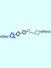 CCCCCCCCCCc1cnc(-c2ccc(-c3ccc(OCCCC4CCC(CCCCC)CC4)cc3)cc2)nc1